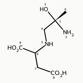 C[C@](N)(O)CNC(CC(=O)O)C(=O)O